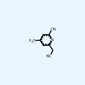 N#CCc1cc(C(F)(F)F)cc(C#N)n1